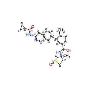 Cc1ccc(C(=O)NC2(C)CC[S+]([O-])C2)cc1-c1ccc2cc(NC(=O)C3CC3)ncc2c1